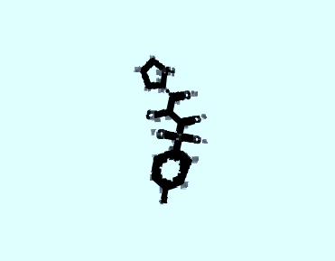 Cc1ccc(S(=O)(=O)C(=O)C(Cl)C(=O)[C@@H]2CCCN2)cc1